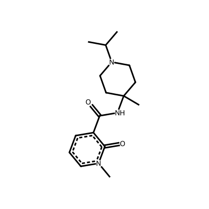 CC(C)N1CCC(C)(NC(=O)c2cccn(C)c2=O)CC1